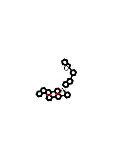 c1ccc(-c2ccc(-c3ccccc3N(c3ccc(-c4ccc5c(ccc6ccccc65)c4)cc3)c3ccc4cc(-c5cccc(-c6cc7ccccc7o6)c5)ccc4c3)cc2)cc1